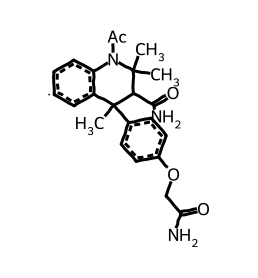 CC(=O)N1c2cc[c]cc2C(C)(c2ccc(OCC(N)=O)cc2)C(C(N)=O)C1(C)C